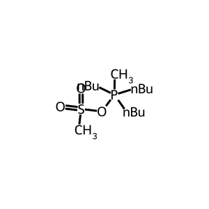 CCCCP(C)(CCCC)(CCCC)OS(C)(=O)=O